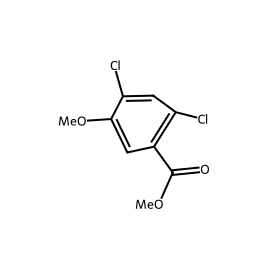 COC(=O)c1cc(OC)c(Cl)cc1Cl